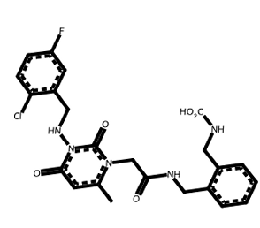 Cc1cc(=O)n(NCc2cc(F)ccc2Cl)c(=O)n1CC(=O)NCc1ccccc1CNC(=O)O